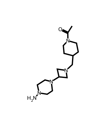 CC(=O)N1CCC(CN2CC(N3CCN(N)CC3)C2)CC1